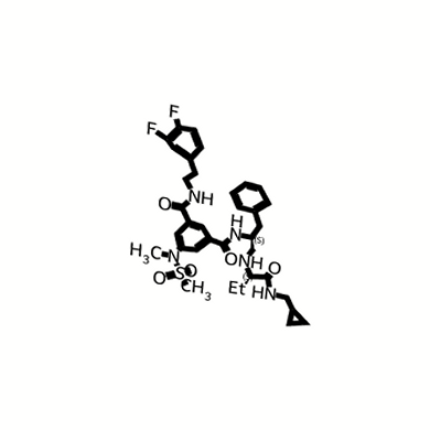 CC[C@H](NC[C@H](Cc1ccccc1)NC(=O)c1cc(C(=O)NCCc2ccc(F)c(F)c2)cc(N(C)S(C)(=O)=O)c1)C(=O)NCC1CC1